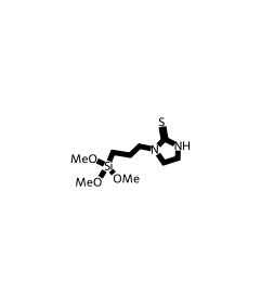 CO[Si](CCCN1CCNC1=S)(OC)OC